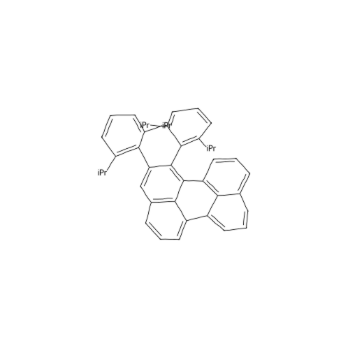 CC(C)c1cccc(C(C)C)c1-c1cc2cccc3c4cccc5cccc(c(c1-c1c(C(C)C)cccc1C(C)C)c23)c54